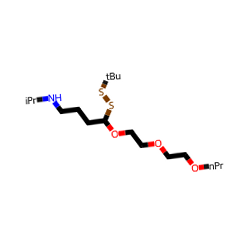 CCCOCCOCCOC(CCCNC(C)C)SSC(C)(C)C